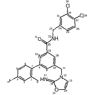 Cc1cc(F)ccc1-c1cc(Cn2ccoc2=N)cc(C(=O)NCc2ccc(Cl)c(Cl)c2)n1